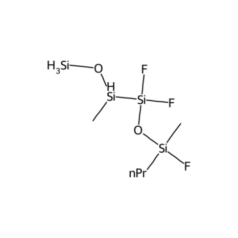 CCC[Si](C)(F)O[Si](F)(F)[SiH](C)O[SiH3]